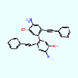 Nc1cc(C#Cc2ccccc2)c(-c2cc(O)c(N)cc2C#Cc2ccccc2)cc1O